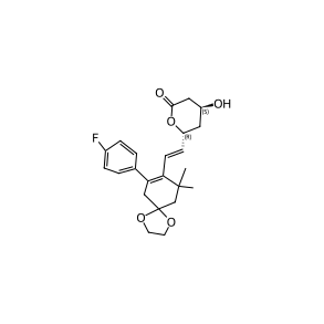 CC1(C)CC2(CC(c3ccc(F)cc3)=C1C=C[C@H]1C[C@H](O)CC(=O)O1)OCCO2